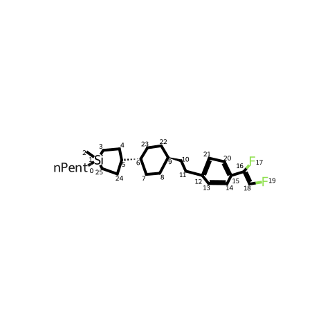 CCCCC[Si]1(C)CCC([C@H]2CC[C@H](CCc3ccc(/C(F)=C/F)cc3)CC2)CC1